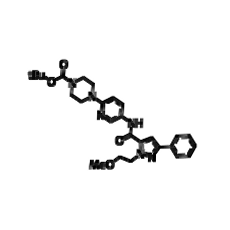 COCCn1nc(-c2ccccc2)cc1C(=O)Nc1ccc(N2CCN(C(=O)OC(C)(C)C)CC2)nc1